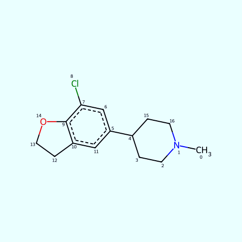 CN1CCC(c2cc(Cl)c3c(c2)CCO3)CC1